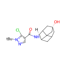 CC(C)(C)n1ncc(C(=O)N[C@H]2C3CC4CC2C[C@](O)(C4)C3)c1Cl